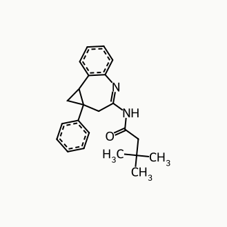 CC(C)(C)CC(=O)NC1=Nc2ccccc2C2CC2(c2ccccc2)C1